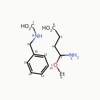 CCOC(N)CCC(=O)O.O=C(O)NCc1ccccc1